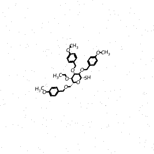 CCO[C@@H]1[C@H](OCc2ccc(OC)cc2)[C@@H](OCc2ccc(OC)cc2)[C@H](S)O[C@@H]1COCc1ccc(OC)cc1